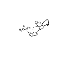 CC(C)n1cc[n+]2ccc(-c3c[n+]4ncccc4n3C(C)C)cc12